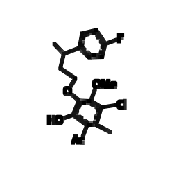 COc1c(Cl)c(C)c(C(C)=O)c(O)c1OCCC(C)c1ccc(F)cc1